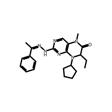 CCC1C(=O)N(C)c2cnc(NN=C(C)c3ccccc3)nc2N1C1CCCC1